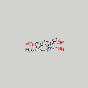 COc1c(O)ccc2c1CC[C@@H]1[C@@H]2CC[C@]2(C)[C@@H](O)[C@H](O)C[C@@H]12